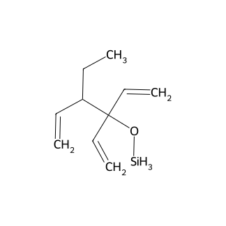 C=CC(CC)C(C=C)(C=C)O[SiH3]